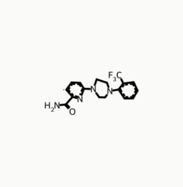 NC(=O)c1[c]ccc(N2CCN(c3ccccc3C(F)(F)F)CC2)n1